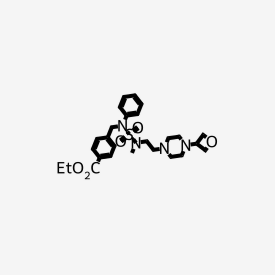 CCOC(=O)c1ccc(CN(c2ccccc2)S(=O)(=O)N(C)CCN2CCN(C3COC3)CC2)cc1